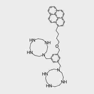 c1cc2ccc3ccc(CCCCOCc4cc(CN5CCNCCNCCNCC5)cc(CN5CCNCCNCCNCC5)c4)c4ccc(c1)c2c34